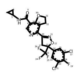 O=C(NC1CC1)c1cnc(C2=NOC(c3cc(Cl)c(F)c(Cl)c3)(C(F)(F)F)C2)c2c1OCC2